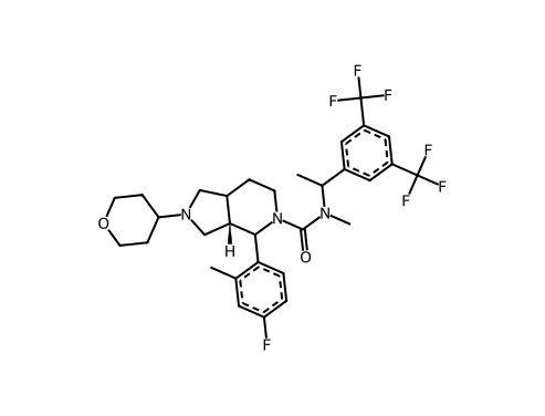 Cc1cc(F)ccc1C1[C@@H]2CN(C3CCOCC3)CC2CCN1C(=O)N(C)C(C)c1cc(C(F)(F)F)cc(C(F)(F)F)c1